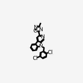 Cc1noc(-c2cc3c4ccccc4n(Cc4cc(Cl)ccc4Cl)c3cn2)n1